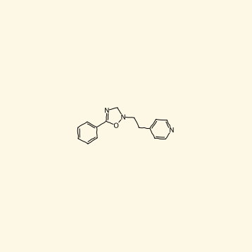 c1ccc(C2=NCN(CCc3ccncc3)O2)cc1